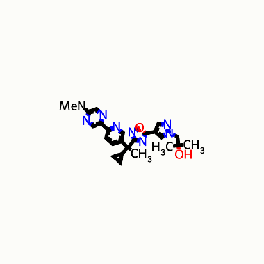 CNc1cnc(-c2ccc(C(C)(c3noc(-c4cnn(CC(C)(C)O)c4)n3)C3CC3)cn2)cn1